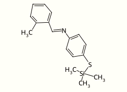 Cc1ccccc1C=Nc1ccc(S[Si](C)(C)C)cc1